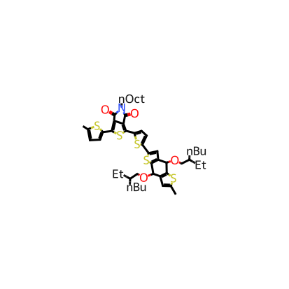 CCCCCCCCN1C(=O)c2c(-c3ccc(C)s3)sc(-c3ccc(-c4cc5c(s4)C(OCC(CC)CCCC)c4cc(C)sc4C5OCC(CC)CCCC)s3)c2C1=O